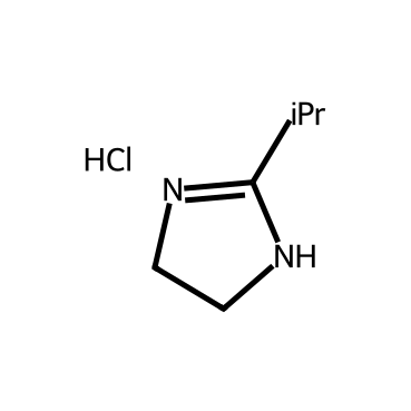 CC(C)C1=NCCN1.Cl